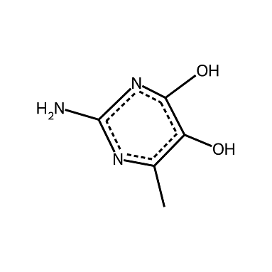 Cc1nc(N)nc(O)c1O